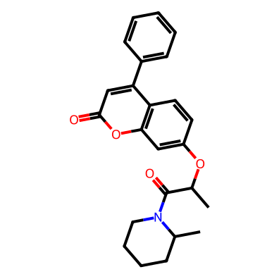 CC(Oc1ccc2c(-c3ccccc3)cc(=O)oc2c1)C(=O)N1CCCCC1C